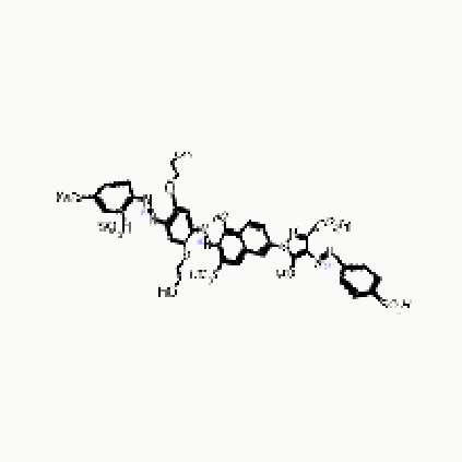 COc1ccc(/N=N/c2cc(OCCO)c(/N=N/c3c(S(=O)(=O)O)cc4cc(-n5nc(C(=O)O)c(/N=N/c6ccc(S(=O)(=O)O)cc6)c5O)ccc4c3O)cc2OCCO)c(S(=O)(=O)O)c1